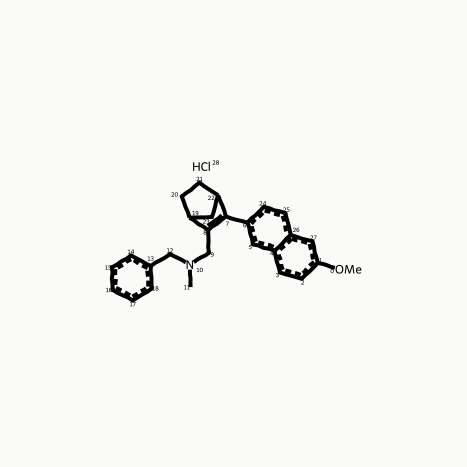 COc1ccc2cc(C3=C(CN(C)Cc4ccccc4)C4CCC3C4)ccc2c1.Cl